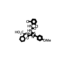 COc1ccc(-c2nc(C(=O)N[C@H](C(=O)O)C3CCCCC3)c(NC(=O)Nc3c(Cl)cccc3Cl)s2)cc1